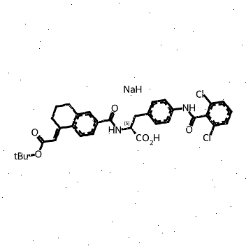 CC(C)(C)OC(=O)C=C1CCCc2cc(C(=O)N[C@@H](Cc3ccc(NC(=O)c4c(Cl)cccc4Cl)cc3)C(=O)O)ccc21.[NaH]